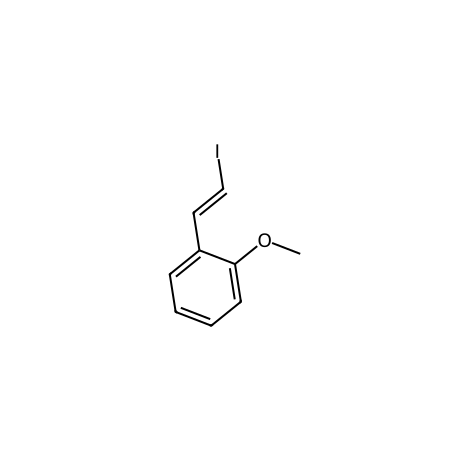 COc1ccccc1C=CI